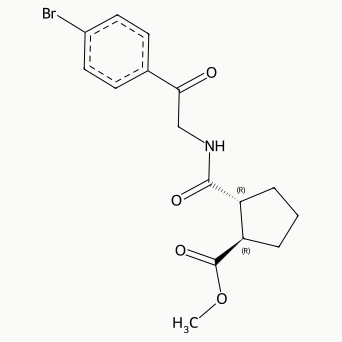 COC(=O)[C@@H]1CCC[C@H]1C(=O)NCC(=O)c1ccc(Br)cc1